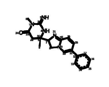 CN1C(=N)N[C@](C)(C2CN3C=C(c4ccccc4)C=CC3=N2)CC1=O